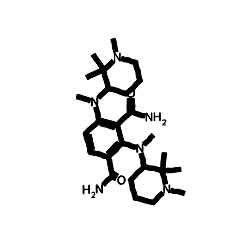 CN(c1ccc(C(N)=O)c(N(C)C2CCCN(C)C2(C)C)c1C(N)=O)C1CCCN(C)C1(C)C